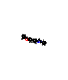 CC(CCc1ccccc1)N[C@H]1CC[C@H](c2ccc(OCc3ccccc3)cc2)CC1